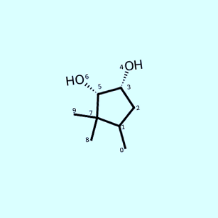 CC1C[C@@H](O)[C@@H](O)C1(C)C